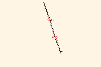 CCCCCCCCCCCCOC(=O)CCCCCCCCCCC(=O)OCCCCCCCCCC(C)C